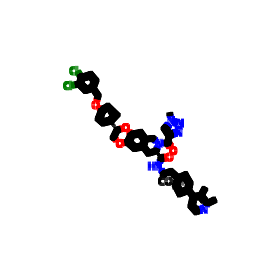 Cc1nccc(-c2ccc(CC(NC(=O)[C@@H]3Cc4cc5c(cc4CN3C(=O)c3cn(C)nn3)O[C@@H](c3ccc(OCc4ccc(Cl)c(Cl)c4)cc3)CO5)C(=O)O)cc2)c1C